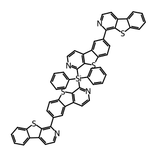 c1ccc([Si](c2ccccc2)(c2nccc3c2sc2ccc(-c4nccc5c4sc4ccccc45)cc23)c2nccc3c2sc2ccc(-c4nccc5c4sc4ccccc45)cc23)cc1